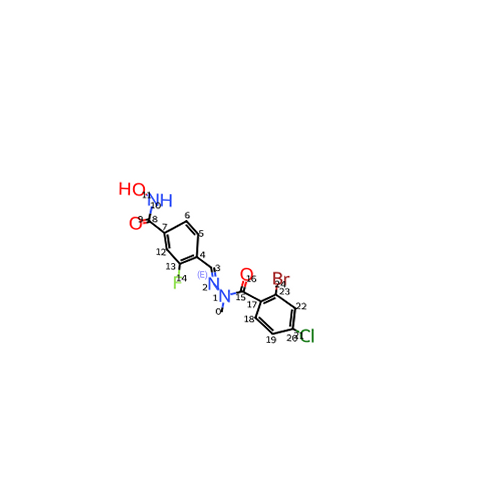 CN(/N=C/c1ccc(C(=O)NO)cc1F)C(=O)c1ccc(Cl)cc1Br